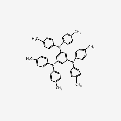 Cc1ccc(N(c2ccc(C)cc2)c2cc(N(c3ccc(C)cc3)c3ccc(C)cc3)cc(N(c3ccc(C)cc3)c3ccc(C)cc3)c2)cc1